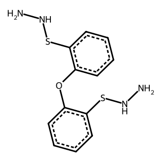 NNSc1ccccc1Oc1ccccc1SNN